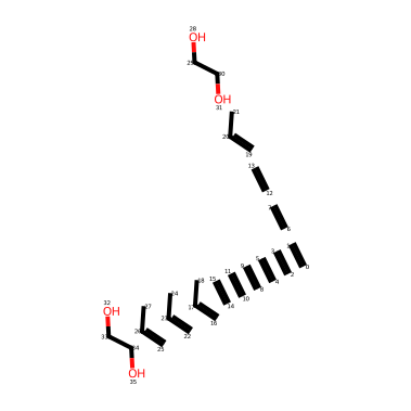 C=C.C=C.C=C.C=C.C=C.C=C.C=C.C=C.C=CC.C=CC.C=CC.C=CC.OCCO.OCCO